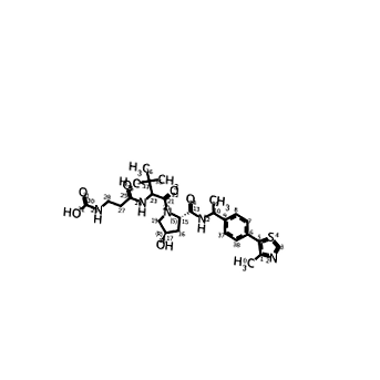 Cc1ncsc1-c1ccc(C(C)NC(=O)[C@@H]2C[C@@H](O)CN2C(=O)C(NC(=O)CCNC(=O)O)C(C)(C)C)cc1